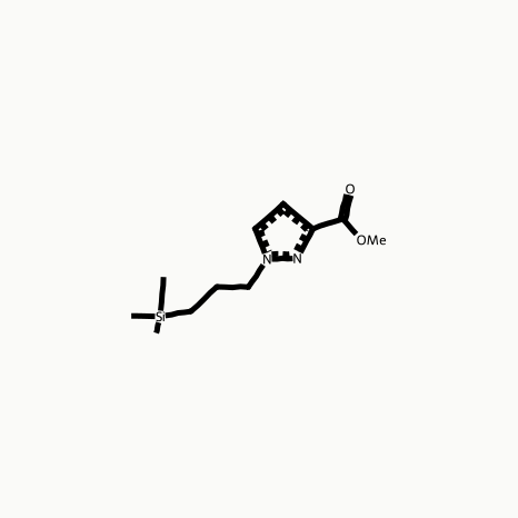 COC(=O)c1ccn(CCC[Si](C)(C)C)n1